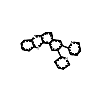 c1ccc(-c2cc3ccc4nc5ccccc5nc4c3cc2-c2ccccn2)nc1